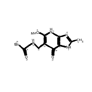 COc1[nH]c2nc(C)[nH]c2c(=O)c1CNC(=O)C(C)(C)C